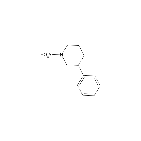 O=S(=O)(O)N1CCCC(c2ccccc2)C1